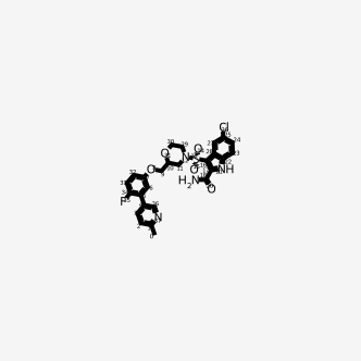 Cc1ccc(-c2cc(OCC3CN(S(=O)(=O)c4c(C(N)=O)[nH]c5ccc(Cl)cc45)CCO3)ccc2F)cn1